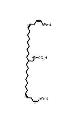 CCCCC/C=C\C/C=C\CCCCCCCCC(CCCCCCCC/C=C\C/C=C\CCCCC)CNC(=O)O